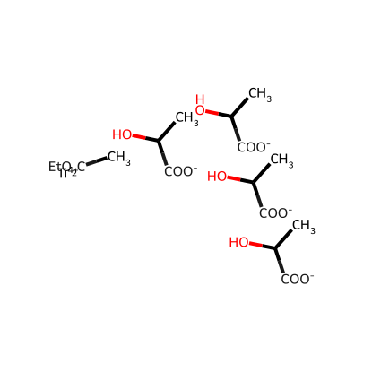 CC(O)C(=O)[O-].CC(O)C(=O)[O-].CC(O)C(=O)[O-].CC(O)C(=O)[O-].CCOC(C)=O.[Ti+4]